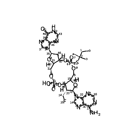 CCC(C)(C)SP1(=O)OC[C@H]2O[C@@H](n3cnc4c(N)ncnc43)[C@H](CF)[C@@H]2OP(=O)(O)OC[C@H]2O[C@@H](n3cnc4c(=O)[nH]cnc43)C[C@@H]2O1